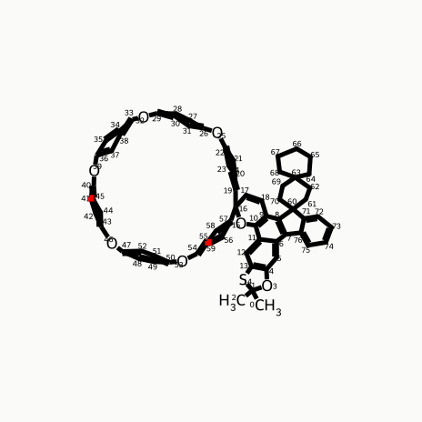 CC1(C)Oc2cc3c4c(c5c(c3cc2S1)OC1(C=C5)c2ccc(cc2)Oc2ccc(cc2)Oc2ccc(cc2)Oc2ccc(cc2)Oc2ccc(cc2)Oc2ccc1cc2)C1(CCC2(CCCCC2)CC1)c1ccccc1-4